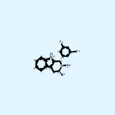 CC(=O)N1[C@@H](c2cc(F)cc(F)c2)c2[nH]c3ccccc3c2C[C@@H]1C